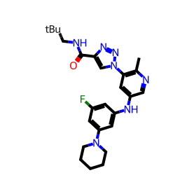 Cc1ncc(Nc2cc(F)cc(N3CCCCC3)c2)cc1-n1cc(C(=O)NCC(C)(C)C)nn1